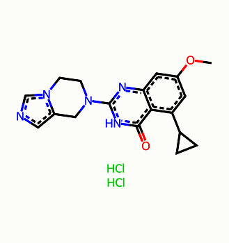 COc1cc(C2CC2)c2c(=O)[nH]c(N3CCn4cncc4C3)nc2c1.Cl.Cl